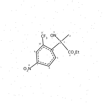 CCOC(=O)S(C)(N=O)c1ccc([N+](=O)[O-])cc1C(F)(F)F